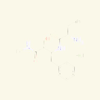 CCNC(=O)C(O)C(Cc1ccccc1)NC(=O)[C@@H](N)CC(C)C.Cl